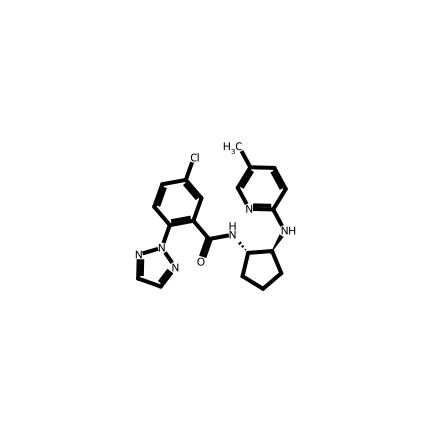 Cc1ccc(N[C@H]2CCC[C@@H]2NC(=O)c2cc(Cl)ccc2-n2nccn2)nc1